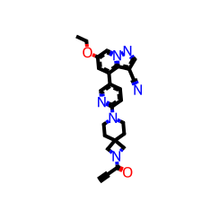 C#CC(=O)N1CC2(CCN(c3ccc(-c4cc(OCC)cn5ncc(C#N)c45)cn3)CC2)C1